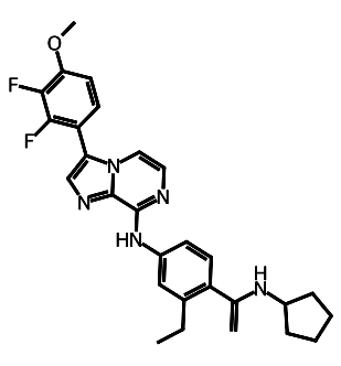 C=C(NC1CCCC1)c1ccc(Nc2nccn3c(-c4ccc(OC)c(F)c4F)cnc23)cc1CC